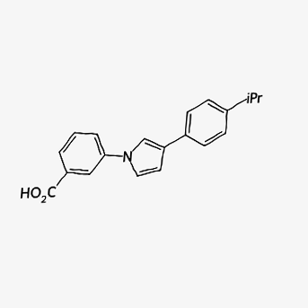 CC(C)c1ccc(-c2ccn(-c3cccc(C(=O)O)c3)c2)cc1